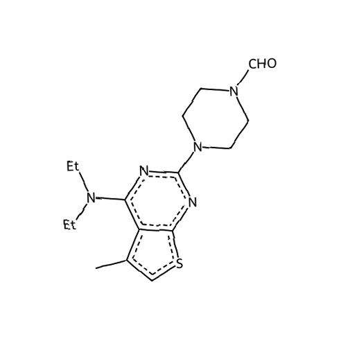 CCN(CC)c1nc(N2CCN(C=O)CC2)nc2scc(C)c12